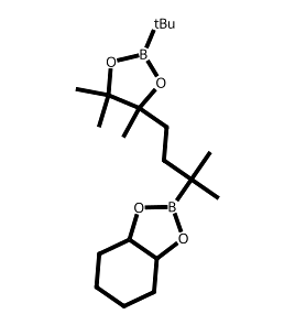 CC(C)(C)B1OC(C)(C)C(C)(CCC(C)(C)B2OC3CCCCC3O2)O1